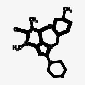 Cc1ccc(Cn2c(N3CCSCC3)nc3c2c(=O)n(C)c(=O)n3C)cc1